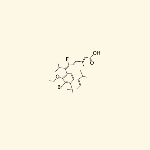 CCOc1c(\C(=C(F)/C=C/C(C)=C/C(=O)O)C(C)C)cc2c(c1Br)C(C)(C)CC=C2C(C)C